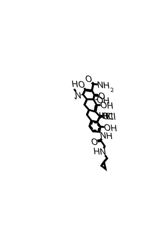 CN(C)[C@@H]1C(O)=C(C(N)=O)C(=O)[C@@]2(O)C(O)=C3C(=O)c4c(ccc(NC(=O)CNCC5CC5)c4O)CC3CC12.Cl.Cl